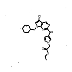 CCOC(=O)Cn1cc(Nc2ncc3c(Cl)cn(CC4CCCCC4)c3n2)cn1